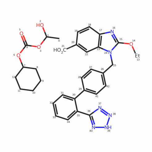 CC(O)OC(=O)OC1CCCCC1.CCOc1nc2ccc(C(=O)O)cc2n1Cc1ccc(-c2ccccc2-c2nn[nH]n2)cc1